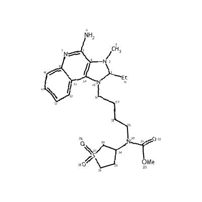 CCC1N(C)c2c(N)nc3ccccc3c2N1CCCCN(C(=O)OC)C1CCS(=O)(=O)C1